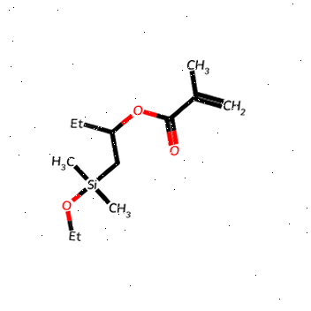 C=C(C)C(=O)OC(CC)C[Si](C)(C)OCC